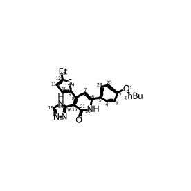 CCCCOc1ccc(-c2cc(-c3ccc(CC)s3)c(-c3nnc[nH]3)c(=O)[nH]2)cc1